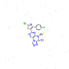 CC[C@@H]1c2nncn2-c2cnc(-c3sc(Br)nc3-c3ccc(F)cc3)nc2N1C(C)C